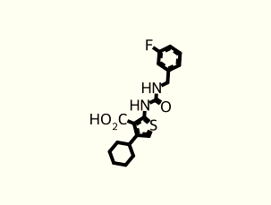 O=C(NCc1cccc(F)c1)Nc1scc(C2CCCCC2)c1C(=O)O